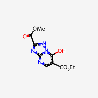 CCOC(=O)c1cnc2nc(C(=O)OC)nn2c1O